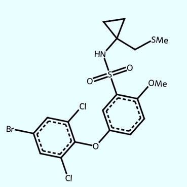 COc1ccc(Oc2c(Cl)cc(Br)cc2Cl)cc1S(=O)(=O)NC1(CSC)CC1